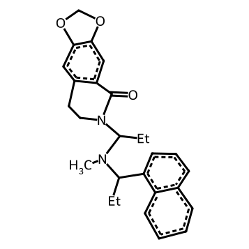 CCC(c1cccc2ccccc12)N(C)C(CC)N1CCc2cc3c(cc2C1=O)OCO3